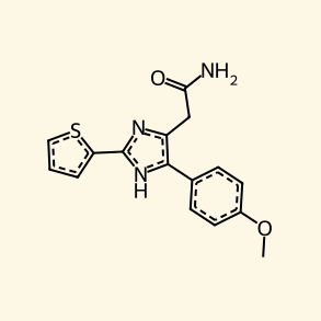 COc1ccc(-c2[nH]c(-c3cccs3)nc2CC(N)=O)cc1